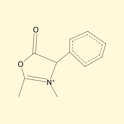 CC1=[N+](C)C(c2ccccc2)C(=O)O1